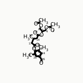 CC(=O)OCC(COC(C)=O)OC(=O)CC(C)CC(=O)Oc1c(C)cc(C=O)cc1C